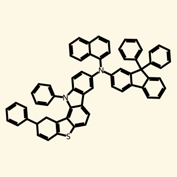 C1=CC(c2ccccc2)Cc2c1sc1ccc3c4cc(N(c5ccc6c(c5)C(c5ccccc5)(c5ccccc5)c5ccccc5-6)c5cccc6ccccc56)ccc4n(-c4ccccc4)c3c21